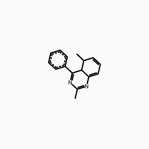 CC1=NC2=CC=CC(C)C2C(c2ccccc2)=N1